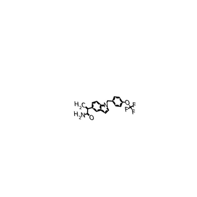 C=C(C(N)=O)c1ccc2c(ccn2Cc2ccc(OC(F)(F)F)cc2)c1